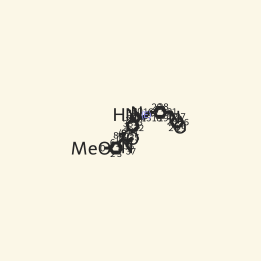 COc1ccc2c(c1)[C@]1(C[C@H]1C1C=Cc3c(/C=C/c4ccc(CN5CCOCC5)cc4)n[nH]c3C1)C(=O)N2C